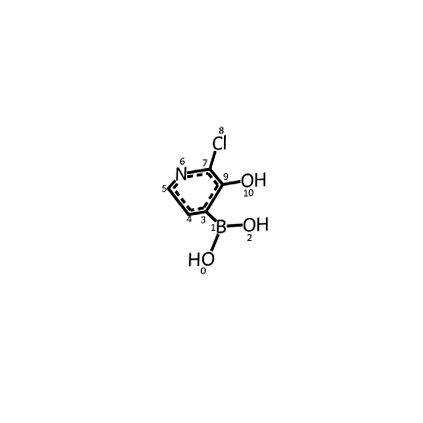 OB(O)c1ccnc(Cl)c1O